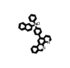 O=P(c1ccccc1)(c1ccc(-c2cc3c4ccccc4cnc3c3ncccc23)cc1)c1ccc2ccccc2c1